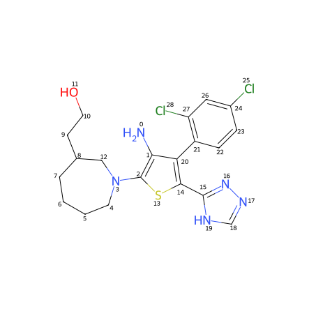 Nc1c(N2CCCCC(CCO)C2)sc(-c2nnc[nH]2)c1-c1ccc(Cl)cc1Cl